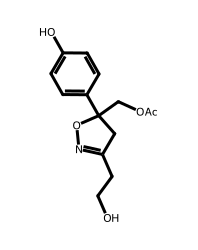 CC(=O)OCC1(c2ccc(O)cc2)CC(CCO)=NO1